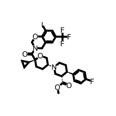 COC(=O)[C@@H]1CN([C@@H]2CC[C@@](C(=O)N3COc4c(I)cc(C(F)(F)F)cc4C3)(C3CC3)OC2)CC[C@H]1c1ccc(F)cc1